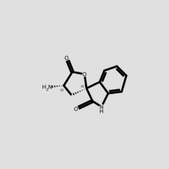 N[C@H]1C[C@@]2(OC1=O)C(=O)Nc1ccccc12